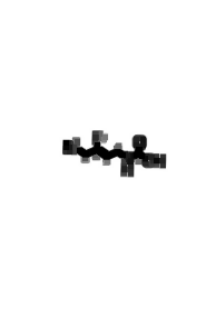 O=C(O)NC/C=C(\F)CBr